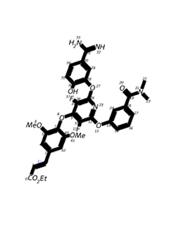 CCOC(=O)/C=C/c1cc(OC)c(Oc2c(F)c(Oc3cccc(C(=O)N(C)C)c3)nc(Oc3cc(C(=N)N)ccc3O)c2F)c(OC)c1